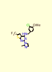 COc1ccc(CNc2nc(-n3ccnc3C)nc3sc(C(F)(F)F)cc23)cc1Cl